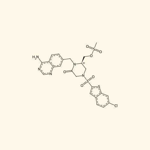 CS(=O)(=O)OC[C@H]1CN(S(=O)(=O)c2cc3ccc(Cl)cc3s2)CC(=O)N1Cc1ccc2c(N)ncnc2c1